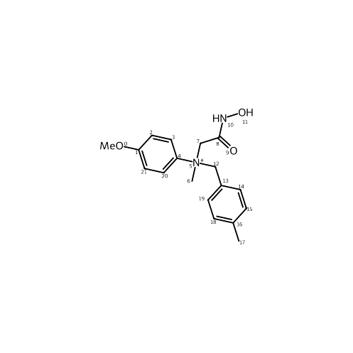 COc1ccc([N+](C)(CC(=O)NO)Cc2ccc(C)cc2)cc1